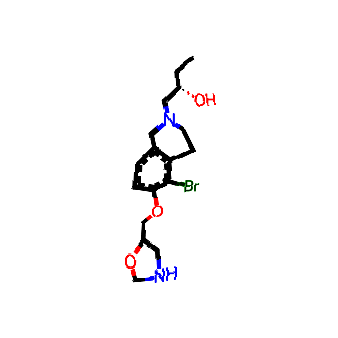 CC[C@H](O)CN1CCc2c(ccc(OCC3CNCO3)c2Br)C1